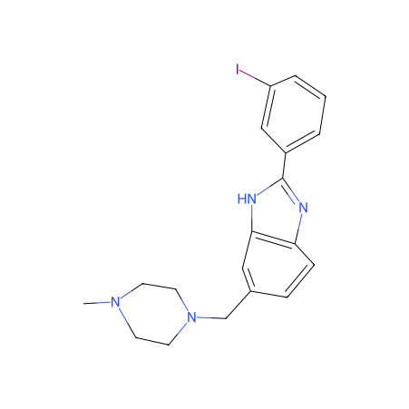 CN1CCN(Cc2ccc3nc(-c4cccc(I)c4)[nH]c3c2)CC1